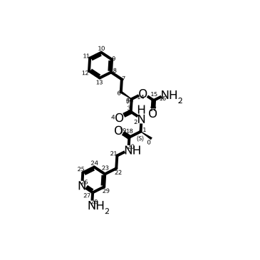 C[C@H](NC(=O)[C@@H](CCc1ccccc1)OC(N)=O)C(=O)NCCc1ccnc(N)c1